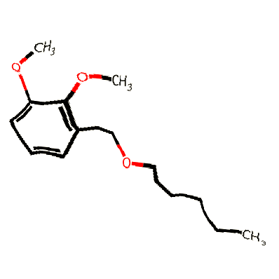 CCCCCOCc1cccc(OC)c1OC